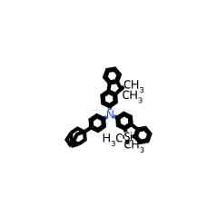 CC1(C)c2ccccc2-c2ccc(N(c3ccc(C45CC6CC(C4)C(C6)C5)cc3)c3ccc4c(c3)[Si](C)(C)c3ccccc3-4)cc21